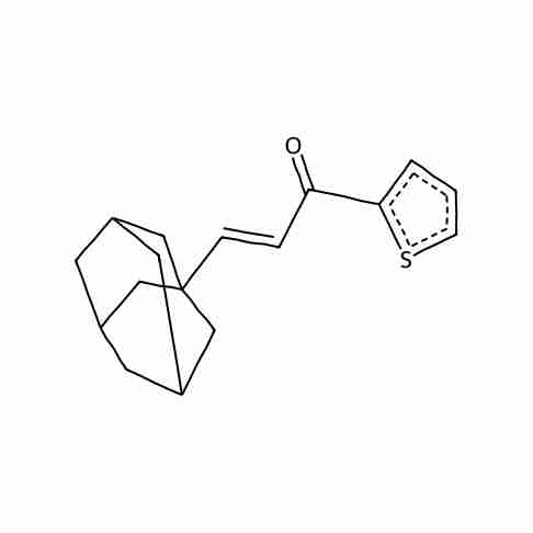 O=C(C=CC12CC3CC(CC(C3)C1)C2)c1cccs1